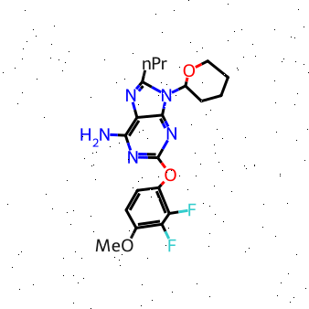 CCCc1nc2c(N)nc(Oc3ccc(OC)c(F)c3F)nc2n1C1CCCCO1